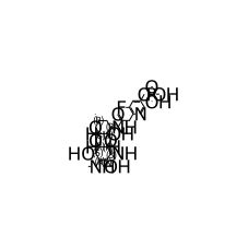 CN[C@@H]1[C@H](O)[C@H](NC)[C@H]2O[C@]3(O)[C@H](O[C@@H]2[C@H]1O)O[C@H](C)C[C@H]3NC(=O)Cc1ncc(OP(=O)(O)O)cc1F